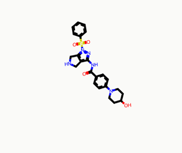 O=C(Nc1nn(S(=O)(=O)c2ccccc2)c2c1CNC2)c1ccc(N2CCC(O)CC2)cc1